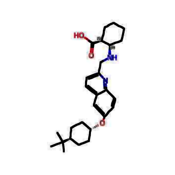 CC(C)(C)[C@H]1CC[C@H](Oc2ccc3nc(CN[C@@H]4CCCC[C@@H]4C(=O)O)ccc3c2)CC1